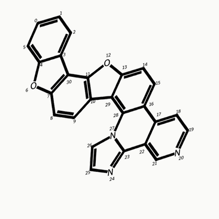 c1ccc2c(c1)oc1ccc3c(oc4ccc5c6ccncc6c6nccn6c5c43)c12